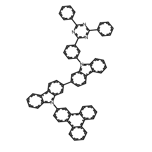 c1ccc(-c2nc(-c3ccccc3)nc(-c3cccc(-n4c5ccccc5c5ccc(-c6ccc7c8ccccc8n(-c8ccc9c%10ccccc%10c%10ccccc%10c9c8)c7c6)cc54)c3)n2)cc1